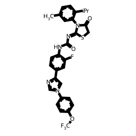 Cc1ccc(C(C)C)c(N2C(=O)CS/C2=N\C(=O)Nc2ccc(-c3cn(-c4ccc(OC(F)(F)F)cc4)cn3)cc2F)c1